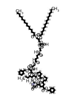 CCCCCCCCCCCCCCCC(=O)OCC(COP(=O)(O)OCCNC(=O)CCCC(=O)NCC(=O)NC(C(=O)NC(CCCCC)C(=O)N1CCCC1C(=O)N1CCCC1C(=O)CC(CCCN/C(N)=N\[N+](=O)[O-])C(=O)OCc1ccccc1)C(C)OCc1ccccc1)OC(=O)CCCCCCCCCCCCCCC